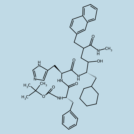 CNC(=O)C(Cc1ccc2ccccc2c1)CC(O)[C@H](CC1CCCCC1)NC(=O)[C@H](Cc1cnc[nH]1)NC(=O)[C@H](Cc1ccccc1)NC(=O)OC(C)(C)C